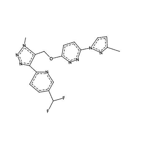 Cc1ccn(-c2ccc(OCc3c(-c4ccc(C(F)F)cn4)nnn3C)nn2)n1